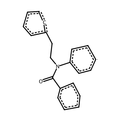 O=C(c1ccccc1)N(CCc1ccccc1)c1cc[c]cc1